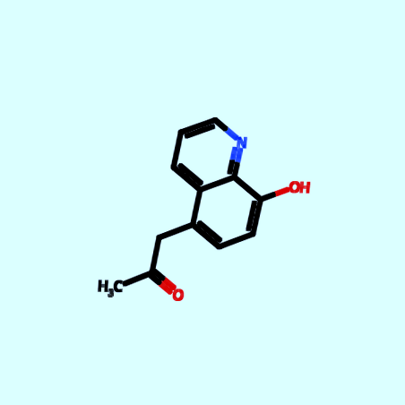 CC(=O)Cc1ccc(O)c2ncccc12